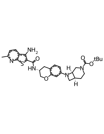 Cc1ccc2c(N)c(C(=O)N[C@H]3COc4cc(N5C[C@@H]6CCN(C(=O)OC(C)(C)C)C[C@@H]65)ccc4C3)sc2n1